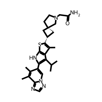 Cc1c(-c2[nH]c3sc([C@H]4C[C@@]5(CCN(CC(N)=O)C5)C4)c(C)c3c2C(C)C)cn2ncnc2c1C